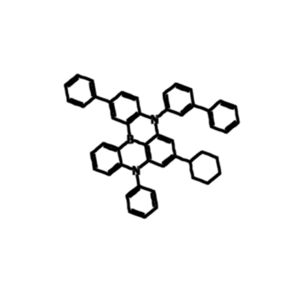 c1ccc(-c2cccc(N3c4ccc(-c5ccccc5)cc4B4c5ccccc5N(c5ccccc5)c5cc(C6CCCCC6)cc3c54)c2)cc1